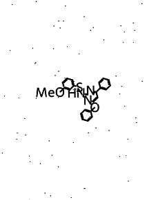 COc1cccc(SNc2nc(Oc3ccccc3)cc(-c3ccccc3)n2)c1